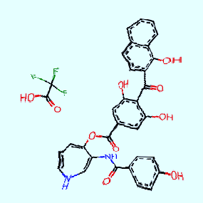 O=C(NC1=CNC=CC=C1OC(=O)c1cc(O)c(C(=O)c2ccc3ccccc3c2O)c(O)c1)c1ccc(O)cc1.O=C(O)C(F)(F)F